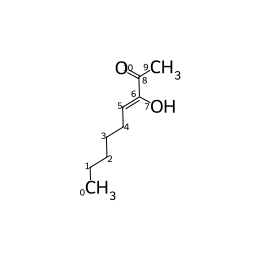 CCCCCC=C(O)C(C)=O